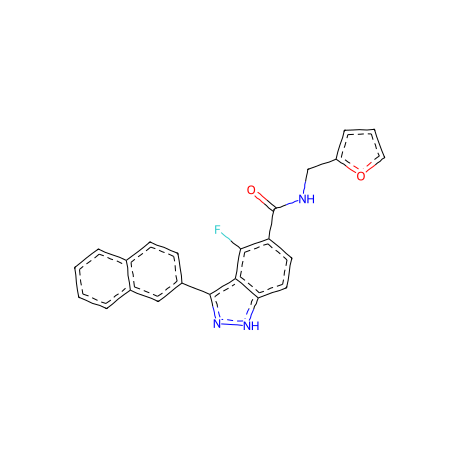 O=C(NCc1ccco1)c1ccc2[nH]nc(-c3ccc4ccccc4c3)c2c1F